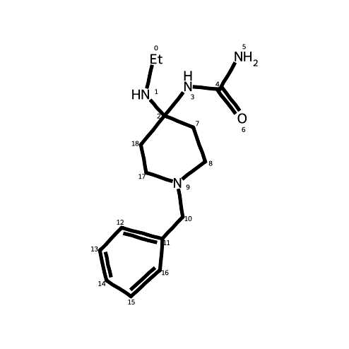 CCNC1(NC(N)=O)CCN(Cc2ccccc2)CC1